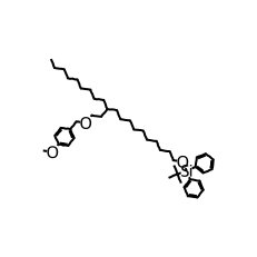 CCCCCCCCCC(CCCCCCCCCCO[Si](c1ccccc1)(c1ccccc1)C(C)(C)C)CCOCc1ccc(OC)cc1